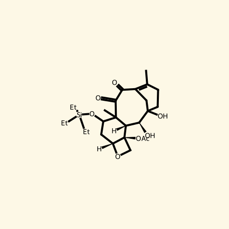 CC[Si](CC)(CC)OC1C[C@H]2OC[C@@]2(OC(C)=O)[C@H]2[C@H](O)C3(O)CCC(C)=C(C3)C(=O)C(=O)C12C